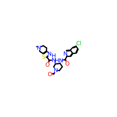 CN1CCc2nc(C(=O)N[C@@H]3CN(C=O)CC[C@@H]3NC(=O)c3cc4ccc(Cl)cc4cn3)sc2C1